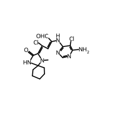 CN1/C(=C(Cl)\C=C(/C=O)Nc2ncnc(N)c2Cl)C(=O)NC12CCCCC2